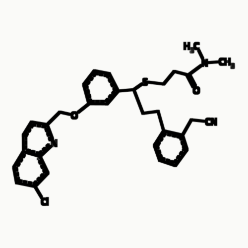 CN(C)C(=O)CCSC(CCc1ccccc1CC#N)c1cccc(OCc2ccc3ccc(Cl)cc3n2)c1